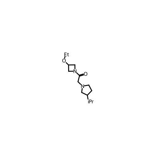 CCOC1CN(C(=O)CN2CCC(C(C)C)C2)C1